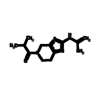 C=C(N)Nc1nc2c(s1)CN(C(=O)C(C)C)CC2